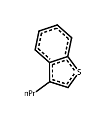 CCCc1csc2ccccc12